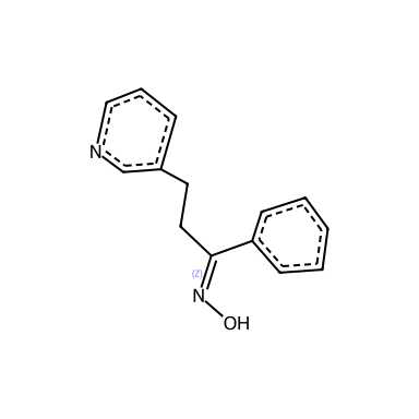 O/N=C(/CCc1cccnc1)c1ccccc1